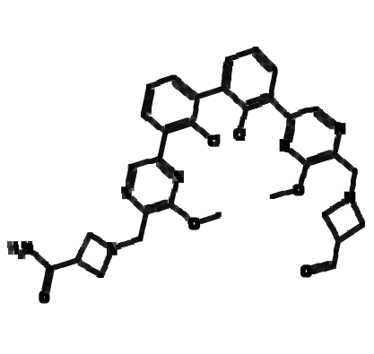 COc1nc(-c2cccc(-c3cccc(-c4cnc(CN5CC(C(N)=O)C5)c(OC)n4)c3Cl)c2Cl)cnc1CN1CC(C=O)C1